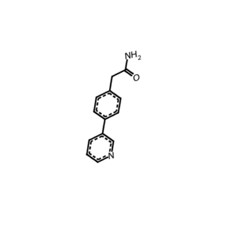 NC(=O)Cc1ccc(-c2cccnc2)cc1